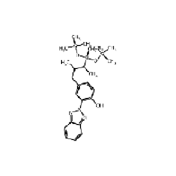 CC(Cc1ccc(O)c(-n2nc3ccccc3n2)c1)C(C)[Si](C)(O[Si](C)(C)C)O[Si](C)(C)C